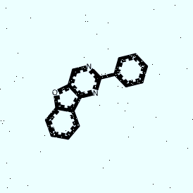 c1ccc(-c2ncc3oc4ccccc4c3n2)cc1